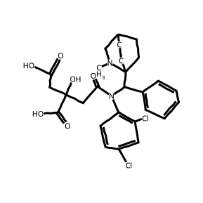 CN1CC2CCC1(C(c1ccccc1)N(C(=O)CC(O)(CC(=O)O)C(=O)O)c1ccc(Cl)cc1Cl)CC2